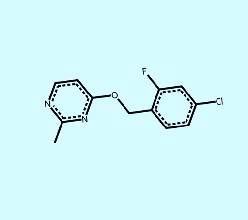 Cc1nccc(OCc2ccc(Cl)cc2F)n1